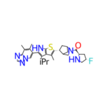 Cc1c(-c2[nH]c3sc([C@@H]4CC5CC4CN5C(=O)[C@H]4C[C@H](F)CN4)c(C)c3c2C(C)C)cn2ncnc2c1C